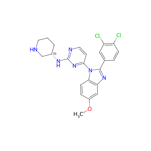 COc1ccc2c(c1)nc(-c1ccc(Cl)c(Cl)c1)n2-c1ccnc(N[C@H]2CCCNC2)n1